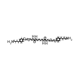 NCCCCc1ccc(OCCOCCNC(=O)NCCCCNC(=O)NCCOCCOc2ccc(CCCCN)cc2)cc1